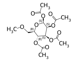 COC[C@H]1O[C@@H](OC(C)=O)[C@@H](OC(C)=O)[C@@H](OC(C)=O)[C@@H]1OC(C)=O